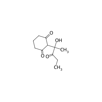 CCC(=O)C(C)(O)C1C(=O)CCCC1=O